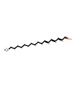 CCCCCCCCCCC/C=C/C=C/C=C/[C]=O